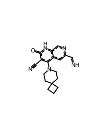 N#Cc1c(N2CCC3(CCC3)CC2)c2cc(C=N)ncc2[nH]c1=O